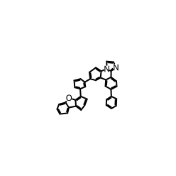 c1ccc(-c2ccc3c(c2)c2cc(-c4cccc(-c5cccc6c5oc5ccccc56)c4)ccc2n2ccnc32)cc1